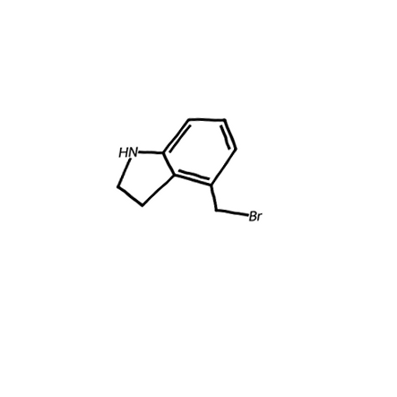 BrCc1cccc2c1CCN2